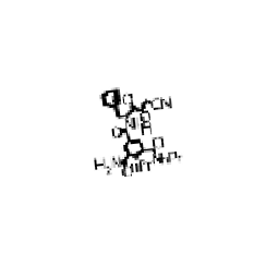 CCCN(CCC)C(=O)c1cc(C(N)=O)cc(C(=O)NC(Cc2ccccc2)C(O)C(O)CC#N)c1